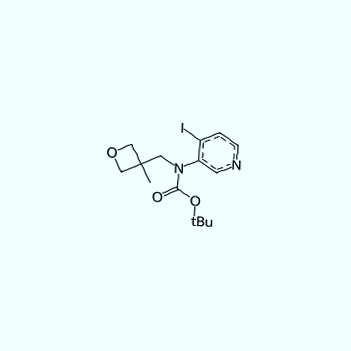 CC1(CN(C(=O)OC(C)(C)C)c2cnccc2I)COC1